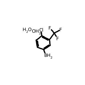 Bc1ccc(Cl)c(C(F)(F)F)c1.O.O